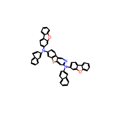 c1ccc2cc(N(c3ccc4c(c3)oc3ccccc34)c3ccc4c(c3)sc3cc(N(c5ccc6ccccc6c5)c5ccc6c(c5)oc5ccccc56)ncc34)ccc2c1